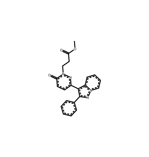 COC(=O)CCn1nc(-c2c(-c3ccccc3)nn3ccccc23)ccc1=O